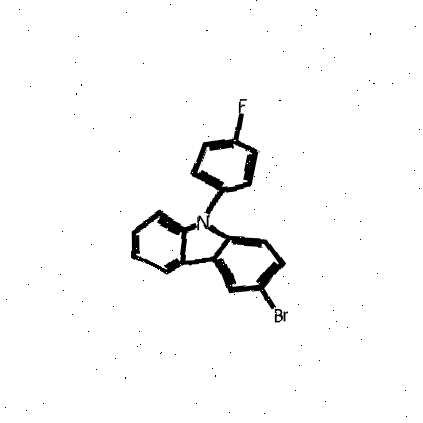 Fc1ccc(-n2c3ccccc3c3cc(Br)ccc32)cc1